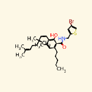 CCCCCc1cc(C)c(/C=C\C(C)(C)CCC=C(C)C)c(O)c1C(=O)NCc1cc(Br)cs1